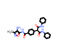 Cc1noc(NC(=O)c2ccc(C(C(=O)Nc3ccccc3)C(=O)Nc3ccccc3)cc2)c1N